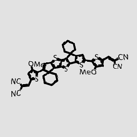 COc1cc(C=C(C#N)C#N)sc1C1=Cc2sc3c4c(sc3c2C12CCCCC2)-c1sc(-c2sc(C=C(C#N)C#N)cc2OC)cc1C41CCCCC1